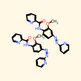 COc1cc(/N=N/c2ccccn2)ccc1NC(=O)c1ccccn1.COc1cc(/N=N\c2ccccn2)ccc1NC(=O)c1ccccn1